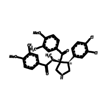 COc1ccc(C(=O)[C@@]2(N(C)C(=O)c3ccc(OC)c(C(F)(F)F)c3)CNC[C@H]2c2ccc(Cl)c(Cl)c2)cc1C